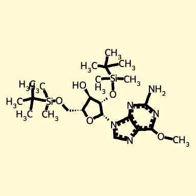 COc1nc(N)nc2c1ncn2[C@@H]1O[C@H](CO[Si](C)(C)C(C)(C)C)[C@@H](O)[C@@H]1O[Si](C)(C)C(C)(C)C